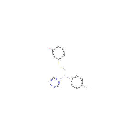 N#Cc1ccc(N(CSc2cccc(O)c2)n2cnnc2)cc1